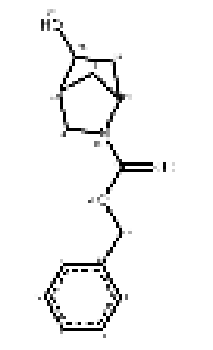 O=C(OCc1ccccc1)N1CC2CC1CC2O